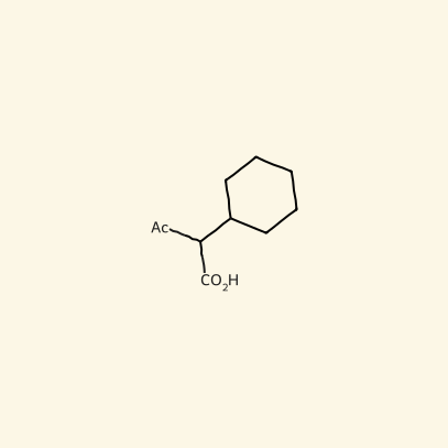 CC(=O)C(C(=O)O)C1CCCCC1